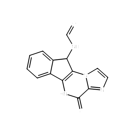 O=CNC1c2ccccc2-c2[nH]c(=O)c3nccn3c21